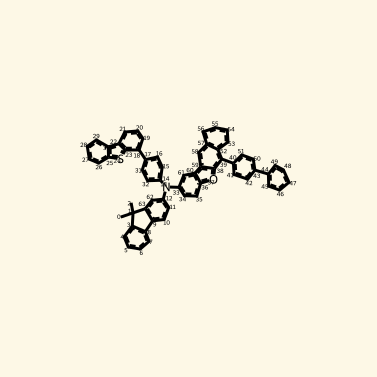 CC1(C)c2ccccc2-c2ccc(N(c3ccc(-c4cccc5c4sc4ccccc45)cc3)c3ccc4oc5c(-c6ccc(-c7ccccc7)cc6)c6ccccc6cc5c4c3)cc21